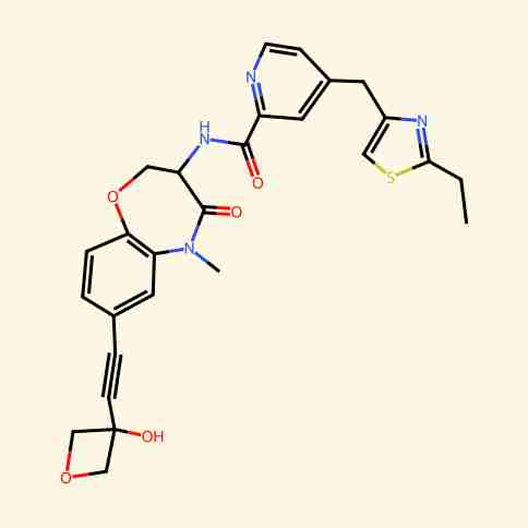 CCc1nc(Cc2ccnc(C(=O)NC3COc4ccc(C#CC5(O)COC5)cc4N(C)C3=O)c2)cs1